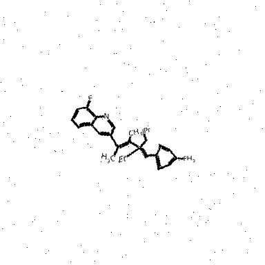 CCC(Cc1ccc(P)cc1)(CC(C)C)/C(C)=C(\C)c1cnc2c(F)cccc2c1